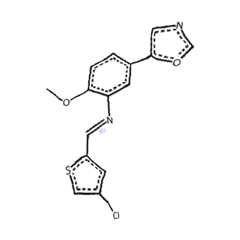 COc1ccc(-c2cnco2)cc1/N=C/c1cc(Cl)cs1